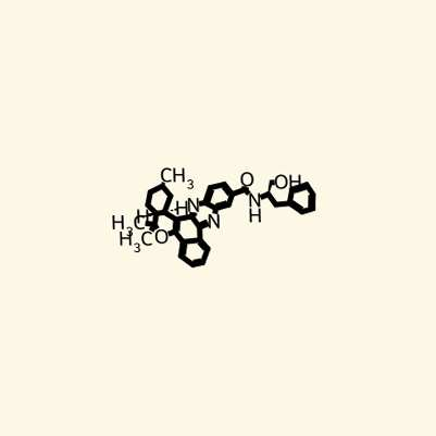 C[C@@H]1CC[C@@H]2[C@@H](C1)c1c(c3ccccc3c3nc4cc(C(=O)N[C@@H](CO)Cc5ccccc5)ccc4nc13)OC2(C)C